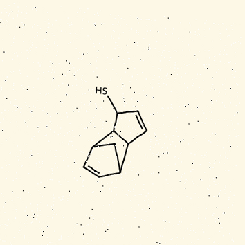 SC1C=CC2C3C=CC(C3)C12